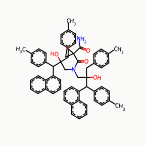 Cc1ccc(CC(O)(CN(CC(O)(Cc2ccc(C)cc2)C(c2ccc(C)cc2)c2cccc3ccccc23)C(=O)C2(C(N)=O)CC2)C(c2ccc(C)cc2)c2cccc3ccccc23)cc1